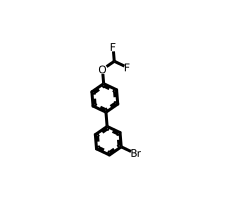 FC(F)Oc1ccc(-c2cccc(Br)c2)cc1